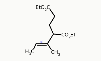 C/C=C(\C)C(CCC(=O)OCC)C(=O)OCC